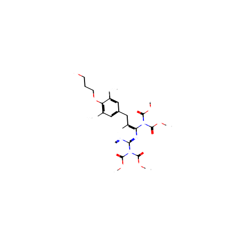 C=N/C(=N\C(=C(/C)Cc1cc(OC)c(OCCCO)c(OC)c1)N(C(=O)OC(C)(C)C)C(=O)OC(C)(C)C)N(C(=O)OC(C)(C)C)C(=O)OC(C)(C)C